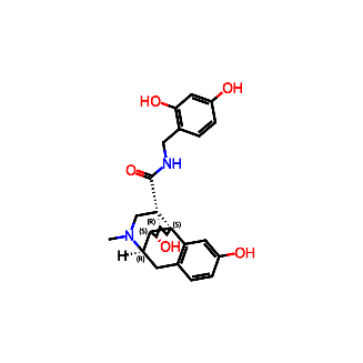 CN1CC[C@]23C[C@@H](C(=O)NCc4ccc(O)cc4O)C[C@@]2(O)[C@H]1Cc1ccc(O)cc13